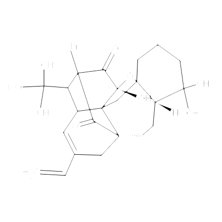 C=CC1=CC2C(C(C)(C)O)C3(C(C)C)C(=O)[C@]4(CC[C@H]5C(C)(C)CCCC56CC24[C@@](O)(O6)C3=O)C1